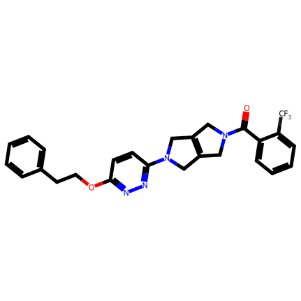 O=C(c1ccccc1C(F)(F)F)N1CC2=C(C1)CN(c1ccc(OCCc3ccccc3)nn1)C2